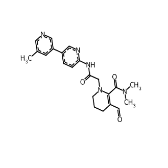 Cc1cncc(-c2ccc(NC(=O)CN3CCCC(C=O)=C3C(=O)N(C)C)nc2)c1